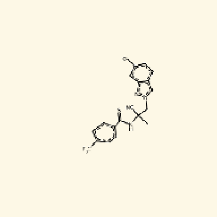 CC(C#N)(Cn1cc2ccc(Cl)cc2n1)NC(=S)c1ccc(C(F)(F)F)cc1